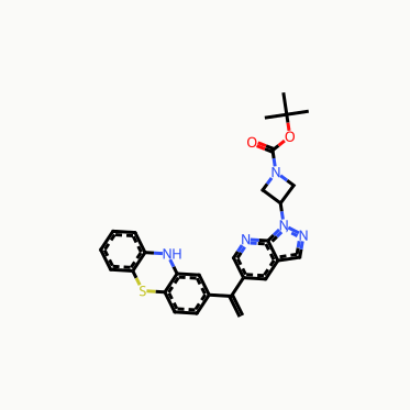 C=C(c1ccc2c(c1)Nc1ccccc1S2)c1cnc2c(cnn2C2CN(C(=O)OC(C)(C)C)C2)c1